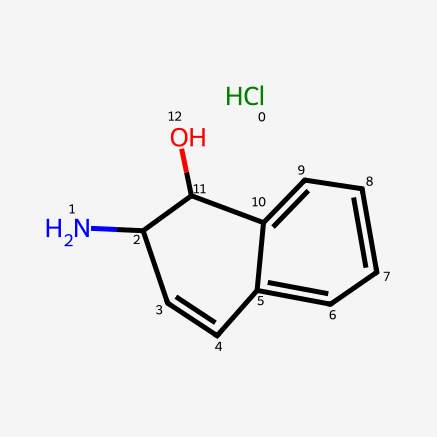 Cl.NC1C=Cc2ccccc2C1O